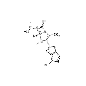 C[C@@H](O)[C@H]1C(=O)N2C(C(=O)O)=C(c3cn4cnc(C#N)c4s3)[C@H](C)[C@H]12